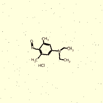 CCN(CC)c1cc(C)c(N=O)c(C)c1.Cl